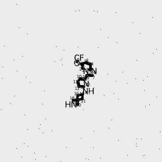 FC(F)(F)Oc1ccc2ncc(-c3cccc(NC4CC5(CNC5)C4)n3)n2c1